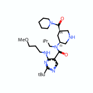 COCCCNc1nc(C(C)(C)C)ncc1C(=O)N(CC(C)C)[C@@H]1CNC[C@H](C(=O)N2CCCCC2)C1